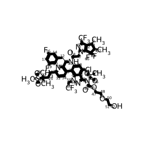 C[C@@H]1c2c(C(F)(F)F)nn(CC(=O)N[C@@H](Cc3cc(F)cc(F)c3)c3nc(CCC(C)(C)S(C)(=O)=O)ccc3-c3ccc(Cl)c4c(N(C(=O)OCCOCCO)S(C)(=O)=O)nn(CC(F)(F)F)c34)c2C(F)(F)[C@@H]1C